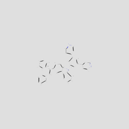 c1ccc(-c2sc3c(ccc4c3c3ccccc3n4-c3cc(-c4ccncc4)cc(-c4ccncc4)c3)c2-c2ccccc2)cc1